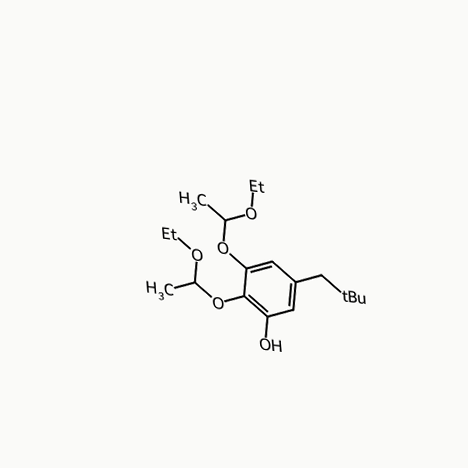 CCOC(C)Oc1cc(CC(C)(C)C)cc(O)c1OC(C)OCC